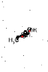 CSc1cccc(-c2ccc(S(=O)(=O)NC3CCCCc4c(OCC(=O)O)cccc43)cc2)c1